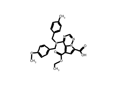 CCOC(=O)c1cc(C(=O)O)n2ncnc(N(Cc3ccc(C)cc3)Cc3ccc(OC)cc3)c12